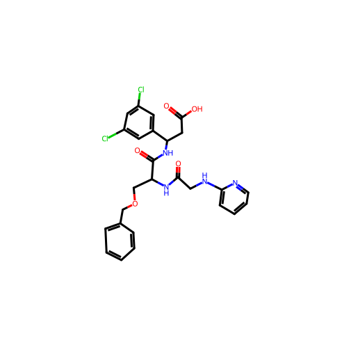 O=C(O)CC(NC(=O)C(COCc1ccccc1)NC(=O)CNc1ccccn1)c1cc(Cl)cc(Cl)c1